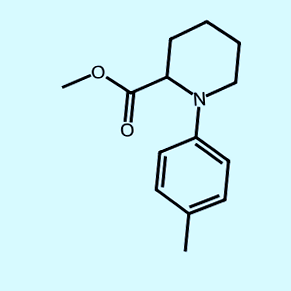 COC(=O)C1CCCCN1c1ccc(C)cc1